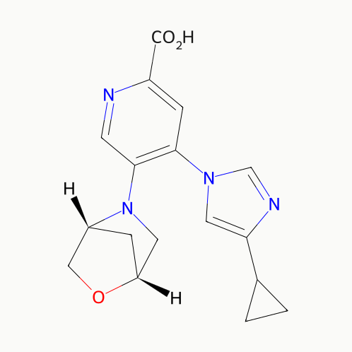 O=C(O)c1cc(-n2cnc(C3CC3)c2)c(N2C[C@H]3C[C@@H]2CO3)cn1